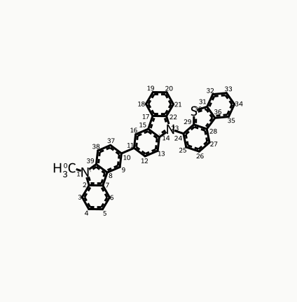 Cn1c2ccccc2c2cc(-c3ccc4c(c3)c3ccccc3n4-c3cccc4c3sc3ccccc34)ccc21